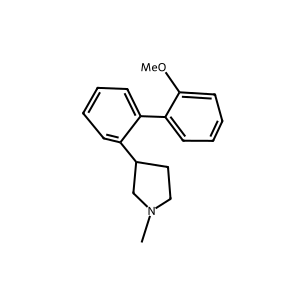 COc1ccccc1-c1ccccc1C1CCN(C)C1